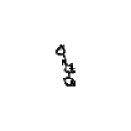 c1cncc(C/N=c2/cc(-c3cccnc3)ss2)c1